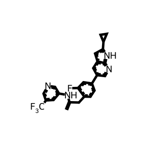 C=C(Cc1ccc(-c2cnc3[nH]c(C4CC4)cc3c2)cc1F)Nc1cncc(C(F)(F)F)c1